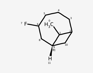 CC1C2CCCC(F)C[C@H]1C2